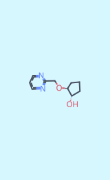 O[C@H]1CCC[C@@H]1OCc1ncccn1